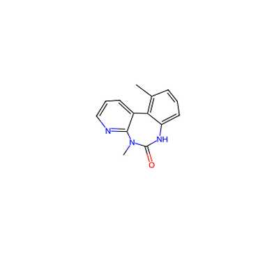 Cc1cccc2c1-c1cccnc1N(C)C(=O)N2